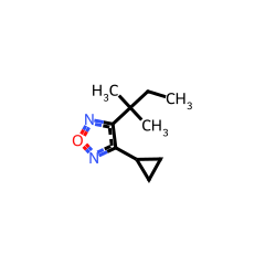 CCC(C)(C)c1nonc1C1CC1